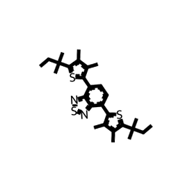 CCC(C)(C)c1sc(-c2ccc(-c3sc(C(C)(C)CC)c(C)c3C)c3nsnc23)c(C)c1C